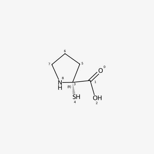 O=C(O)[C@]1(S)CCCN1